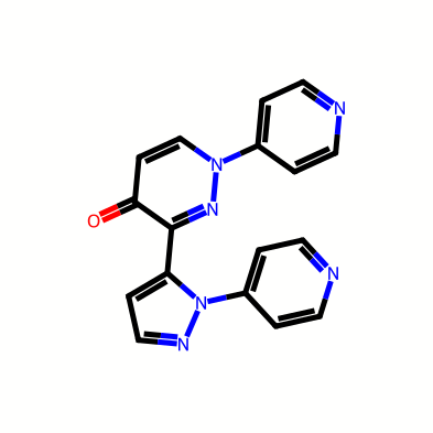 O=c1ccn(-c2ccncc2)nc1-c1ccnn1-c1ccncc1